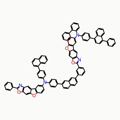 c1ccc(-c2nc3cc4c(cc3o2)oc2ccc(N(c3ccc(-c5ccc6ccc(-c7cccc(-c8nc9cc%10c(cc9o8)oc8ccc(N(c9ccc(-c%11ccc(-c%12ccccc%12)c%12ccccc%11%12)cc9)c9ccccc9-c9ccccc9)cc8%10)c7)cc6c5)cc3)c3ccc(-c5cccc6ccccc56)cc3)cc24)cc1